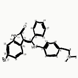 CN(C)Cc1ccc(NC(=C2C(=O)Nc3cc(Br)ccc32)c2ccccc2)cc1